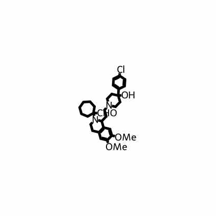 COc1cc2c(cc1OC)C(CCN1CCC(O)(c3ccc(Cl)cc3)CC1)N(C1(C=O)CCCCCC1)CC2